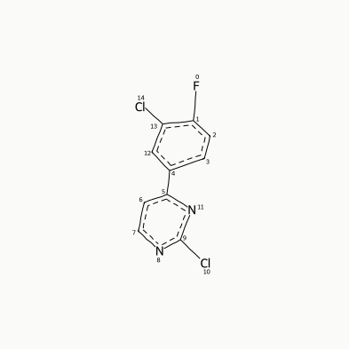 Fc1ccc(-c2ccnc(Cl)n2)cc1Cl